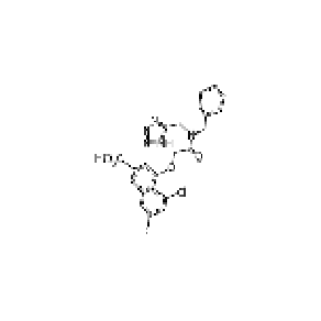 O=C(O)c1cc(OCC(=O)N(Cc2ccccc2)Cc2nnn[nH]2)c2c(Cl)cc(Cl)cc2c1